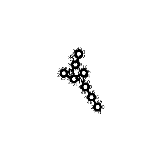 c1ccc(-c2ccc(-c3ccc(-n4c5ccccc5c5c4ccc4c6ccccc6n(-c6ccc7c(c6)sc6ccccc67)c45)cc3)cc2)cc1